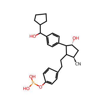 N#C[C@@H]1C[C@@H](O)C(c2ccc(C(O)C3CCCC3)cc2)C1CCc1ccc(OP(O)O)cc1